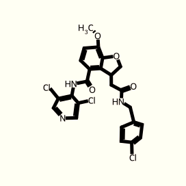 COc1ccc(C(=O)Nc2c(Cl)cncc2Cl)c2c1OCC2CC(=O)NCc1ccc(Cl)cc1